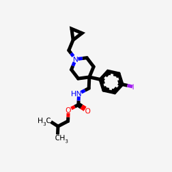 CC(C)COC(=O)NCC1(c2ccc(I)cc2)CCN(CC2CC2)CC1